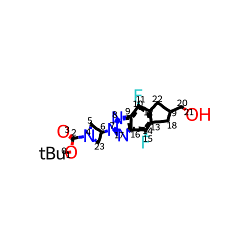 CC(C)(C)OC(=O)N1CC(n2nc3c(F)c4c(c(F)c3n2)CC(CO)C4)C1